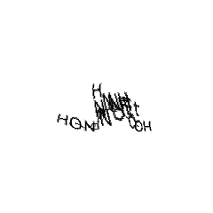 CCc1cc(O)ccc1-c1ccc2c(-c3nc(C4=CCN(CCO)C4)c[nH]3)n[nH]c2c1F